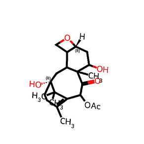 CC(=O)OC1C(=O)C2(C)C(O)C[C@H]3OCC3C2C[C@]2(O)CCC(C)=C1C2(C)C